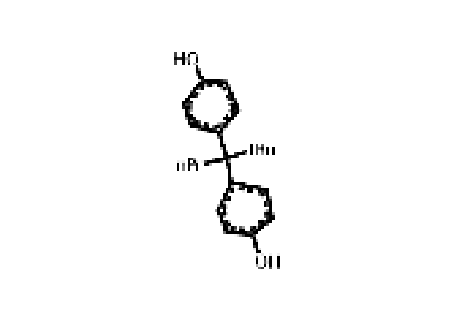 CCCC(c1ccc(O)cc1)(c1ccc(O)cc1)C(C)(C)C